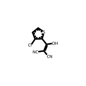 N#CC(C#N)=C(O)c1sccc1Cl